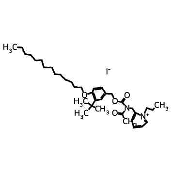 CCCCCCCCCCCCCCOc1ccc(COC(=O)N(Cc2cccc[n+]2CCC)C(C)=O)cc1C(C)(C)C.[I-]